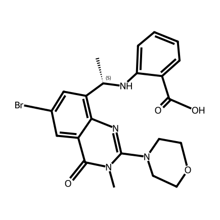 C[C@H](Nc1ccccc1C(=O)O)c1cc(Br)cc2c(=O)n(C)c(N3CCOCC3)nc12